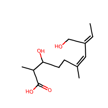 CC=C(C=C(C)CCC(O)C(C)C(=O)O)CO